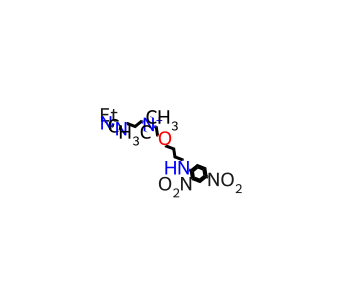 CCN=C=NCCC[N+](C)(C)CCOCCCCNc1ccc([N+](=O)[O-])cc1[N+](=O)[O-]